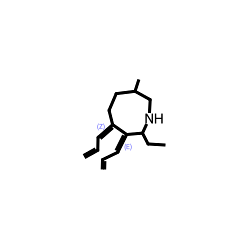 C=C/C=C1/CCC(C)CNC(CC)/C1=C/C=C